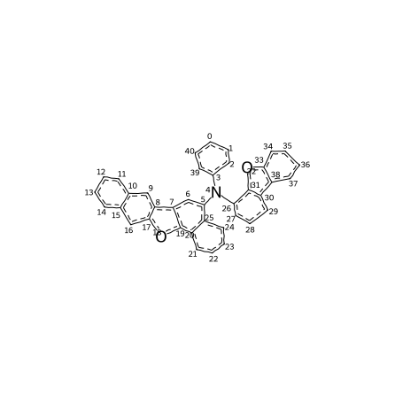 c1ccc(N(c2cc3c4cc5ccccc5cc4oc3c3ccccc23)c2cccc3c2oc2ccccc23)cc1